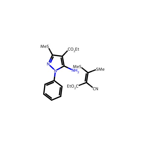 CCOC(=O)C(C#N)=C(SC)SC.CCOC(=O)c1c(SC)nn(-c2ccccc2)c1N